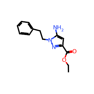 CCOC(=O)c1cc(N)n(CCc2ccccc2)n1